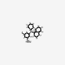 CCC(C)c1cc(C)cc(N(c2ccccc2)c2cccc3ccccc23)c1